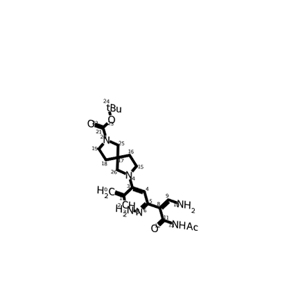 C=C(C)\C(=C/C(=N\N)C(=C/N)/C(=O)NC(C)=O)N1CCC2(CCN(C(=O)OC(C)(C)C)C2)C1